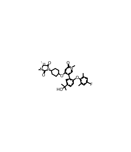 Cc1cc(F)cc(C)c1Oc1ccc(C(C)(C)O)cc1-c1cn(C)c(=O)cc1OC1CCC(N2C(=O)[C@@H](C)N(C)C2=O)CC1